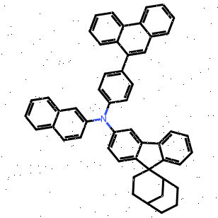 c1ccc2c(c1)-c1cc(N(c3ccc(-c4cc5ccccc5c5ccccc45)cc3)c3ccc4ccccc4c3)ccc1C21CCC2CCCC1C2